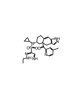 CCN/N=C(\C=N)S(=O)(=O)N(C1CC1)[C@H]1CCC2=Cc3[nH]ncc3C[C@]2(C(=O)c2cc(C)ccn2)C1